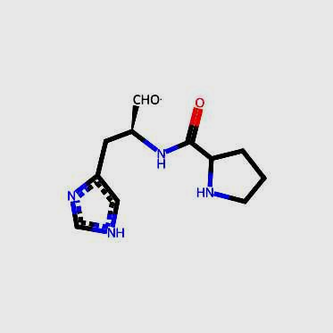 O=[C][C@H](Cc1c[nH]cn1)NC(=O)C1CCCN1